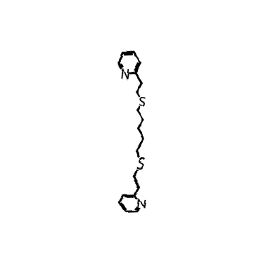 c1ccc(CCSCCCCCSCCc2ccccn2)nc1